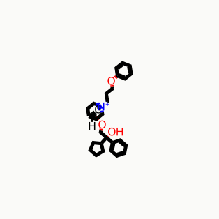 OC(CO[C@H]1C[N+]2(CCCOc3ccccc3)CCC1CC2)(c1ccccc1)C1CCCC1